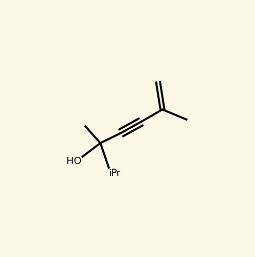 C=C(C)C#CC(C)(O)C(C)C